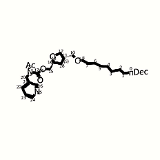 CCCCCCCCCCCCCCCCCCOC[C@H]1CO[C@H](COC(=O)N(Cc2cccnc2)C(C)=O)C1